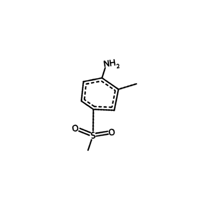 Cc1cc(S(C)(=O)=O)ccc1N